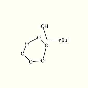 CCCCCO.O1OOOOO1